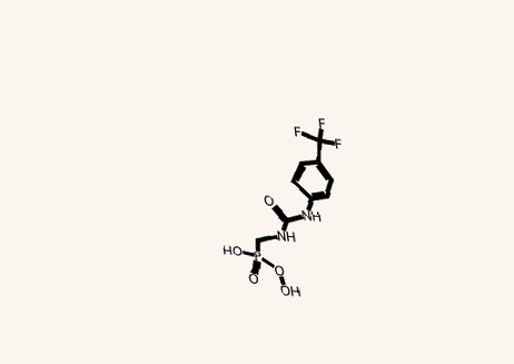 O=C(NCP(=O)(O)OO)Nc1ccc(C(F)(F)F)cc1